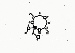 CO[Si]1(CCl)OC(C)COCC(C)O1